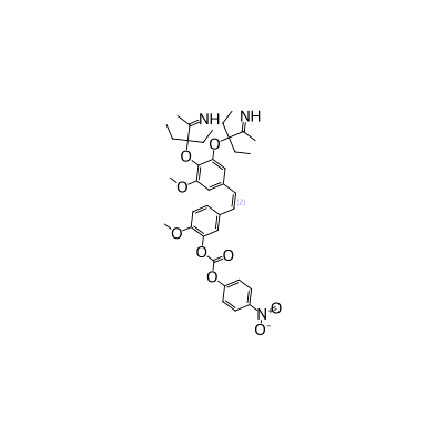 CCC(CC)(Oc1cc(/C=C\c2ccc(OC)c(OC(=O)Oc3ccc([N+](=O)[O-])cc3)c2)cc(OC)c1OC(CC)(CC)C(C)=N)C(C)=N